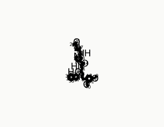 COc1ccc(CN(C[C@H](O)CNC(=O)c2ccnc(NC3CN(C(C)=O)C3)c2)C2Cc3ccccc3C2)c(OC)c1